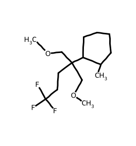 COCC(CCC(F)(F)F)(COC)C1CCCCC1C